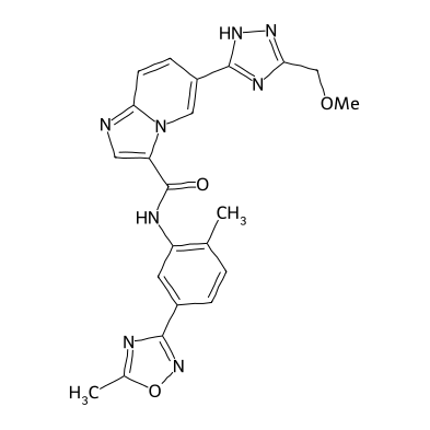 COCc1n[nH]c(-c2ccc3ncc(C(=O)Nc4cc(-c5noc(C)n5)ccc4C)n3c2)n1